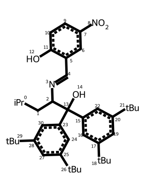 CC(C)CC(N=Cc1cc([N+](=O)[O-])ccc1O)C(O)(c1cc(C(C)(C)C)cc(C(C)(C)C)c1)c1cc(C(C)(C)C)cc(C(C)(C)C)c1